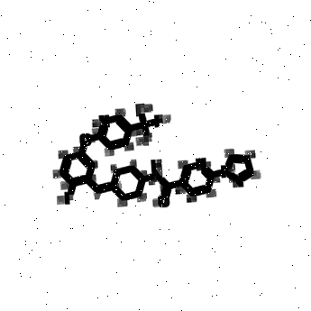 O=C(NC1CCC(=Cc2cc(Oc3ccc(C(F)(F)F)cn3)ccc2F)CC1)c1ccc(-n2cccn2)nc1